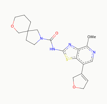 COc1ncc(C2=CCOC2)c2sc(NC(=O)N3CCC4(CCCOC4)C3)nc12